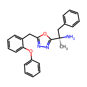 C[C@@](N)(Cc1ccccc1)c1nnc(Cc2ccccc2Oc2ccccc2)o1